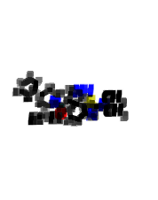 CCC(CC)[C@@H]1C[C@H](c2ccccc2)CCN1C(=O)[C@@H]1CNC[C@]12CCCc1nc(N(C)C)sc12